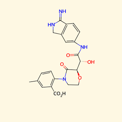 Cc1ccc(N2CCO[C@H]([C@@H](O)C(=O)Nc3ccc4c(c3)CNC4=N)C2=O)c(C(=O)O)c1